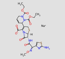 CCOC(=O)N1CC=CC(C2=C(C(=O)[O-])N3C(=O)[C@@H](NC(=O)/C(=N\OC)c4csc(N)n4)[C@@H]3SC2)N1C(=O)OCC.[Na+]